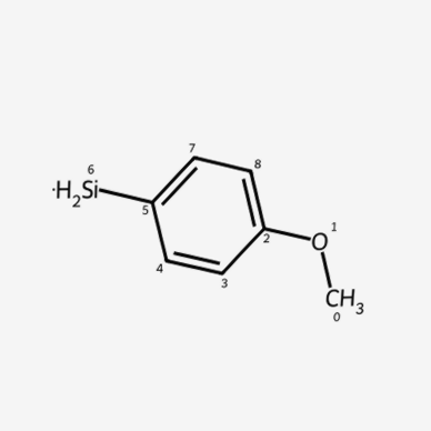 COc1ccc([SiH2])cc1